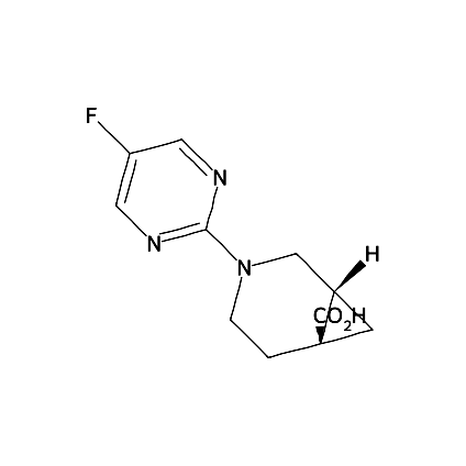 O=C(O)[C@@]12CCN(c3ncc(F)cn3)C[C@@H]1C2